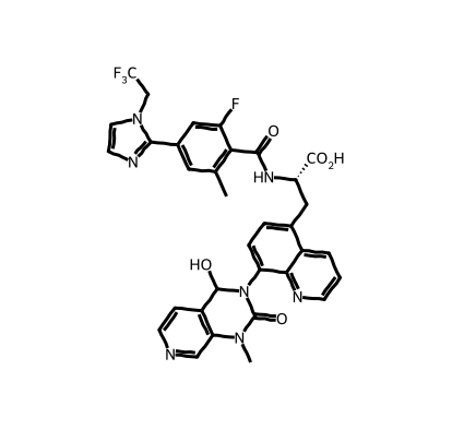 Cc1cc(-c2nccn2CC(F)(F)F)cc(F)c1C(=O)N[C@@H](Cc1ccc(N2C(=O)N(C)c3cnccc3C2O)c2ncccc12)C(=O)O